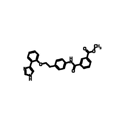 COC(=O)c1cccc(C(=O)Nc2ccc(CCOc3ccccc3-c3c[nH]cn3)cc2)c1